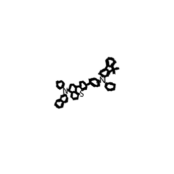 CC1(C)c2ccccc2-c2ccc(N(c3ccccc3)c3ccc(-c4ccc5c(c4)Sc4cccc6c(N(c7ccccc7)c7ccc8ccccc8c7)ccc-5c46)cc3)cc21